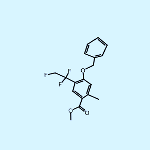 COC(=O)c1cc(C(F)(F)CF)c(OCc2ccccc2)cc1C